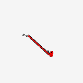 COCCOCCOCCOCCOCCOCCOCCOCCOCCOCCOCCOCCOCCOCCOCCOCCOCCOCCOCCOCCOCCOCCOCCOCCOCCOCCOCCOCCOCCOCCOCCOCC(C)OCC(C)OCC(C)OCC(C)OCC(C)OCC(C)OCC(C)OCC(C)OCC(C)OCC(C)N